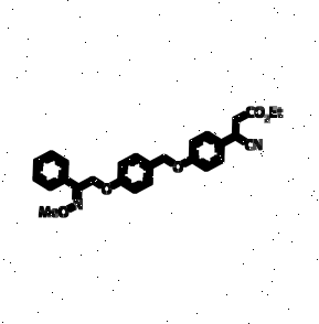 CCOC(=O)CC(C#N)c1ccc(OCc2ccc(OCC(=NOC)c3ccccc3)cc2)cc1